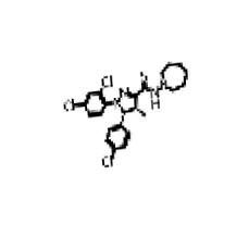 C[C@@H]1C(C(=S)NN2CCCCCC2)=NN(c2ccc(Cl)cc2Cl)[C@@H]1c1ccc(Cl)cc1